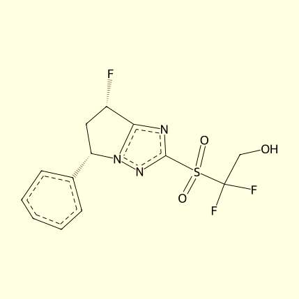 O=S(=O)(c1nc2n(n1)[C@H](c1ccccc1)C[C@@H]2F)C(F)(F)CO